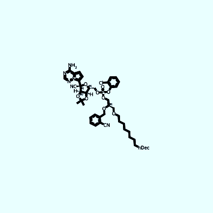 CCCCCCCCCCCCCCCCCCOC[C@H](COP(=O)(OC[C@H]1O[C@@](C#N)(c2ccc3c(N)ncnn23)[C@@H]2OC(C)(C)O[C@@H]21)Oc1ccccc1Cl)OCc1ccccc1C#N